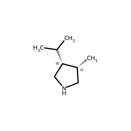 CC(C)[C@H]1CNC[C@H]1C